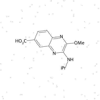 COc1nc2ccc(C(=O)O)cc2nc1NC(C)C